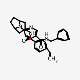 C=Cc1ccc(C(=O)NC2CC3CCC(C2)N3c2ccc(C(=O)NCc3ccccc3)cn2)cc1